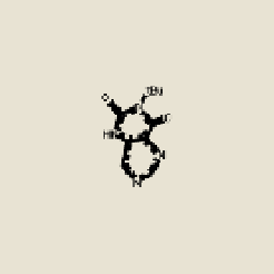 CC(C)(C)n1c(=O)[nH]c2cncnc2c1=O